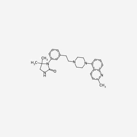 Cc1ccc2c(N3CCN(CCc4cccc(N5C(=O)NCC5(C)C)c4)CC3)cccc2n1